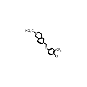 O=C(O)N1CCc2cc(COc3ccc(Cl)c(C(F)(F)F)c3)ccc2C1